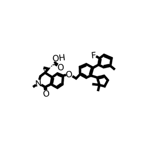 Cc1ccc(F)c(-c2ccc(COc3ccc4c(c3)[C@@]3(C[C@@H]3C(=O)O)CN(C)C4=O)cc2C2=CCCC2(C)C)c1